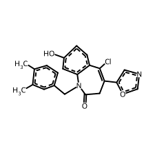 Cc1ccc(CN2C(=O)CC(c3cnco3)=C(Cl)c3ccc(O)cc32)cc1C